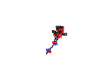 C=CCOC(=O)NCCCCCCNC(=O)OC1CCC2(C)C(=CCC3C2CCC2(C)C([C@H](C)C(=O)CCC(C)C)C(OC4OCC(N=O)C(OC5OCC(O)C(O)C5OC(=O)c5ccc(OC)cc5)C4OC(C)=O)C[C@@]32O)C1